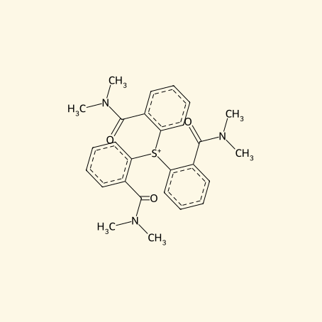 CN(C)C(=O)c1ccccc1[S+](c1ccccc1C(=O)N(C)C)c1ccccc1C(=O)N(C)C